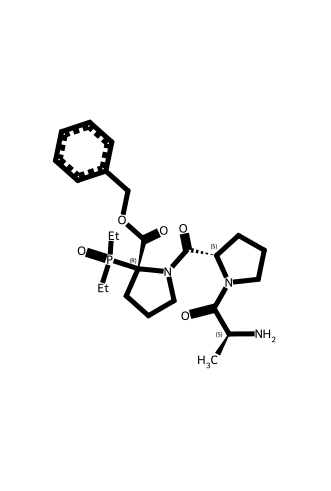 CCP(=O)(CC)[C@@]1(C(=O)OCc2ccccc2)CCCN1C(=O)[C@@H]1CCCN1C(=O)[C@H](C)N